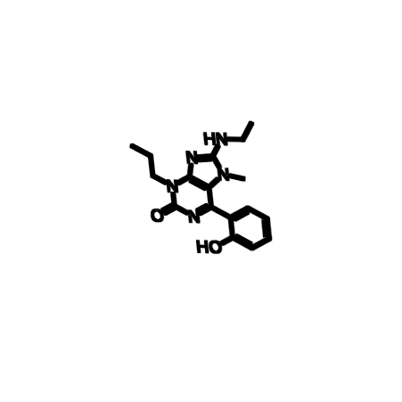 CCCn1c(=O)nc(-c2ccccc2O)c2c1nc(NCC)n2C